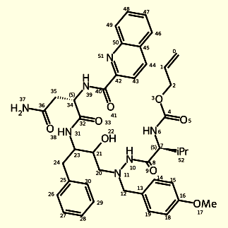 C=CCOC(=O)N[C@H](C(=O)NN(Cc1ccc(OC)cc1)CC(O)C(Cc1ccccc1)NC(=O)[C@H](CC(N)=O)NC(=O)c1ccc2ccccc2n1)C(C)C